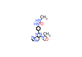 CCNC(=O)Nc1ccc(-c2nc3c(c(N4CCOC[C@@H]4C)n2)CCn2ccnc2-3)cc1